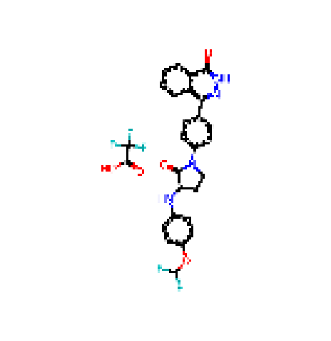 O=C(O)C(F)(F)F.O=C1C(Nc2ccc(OC(F)F)cc2)CCN1c1ccc(-c2n[nH]c(=O)c3ccccc23)cc1